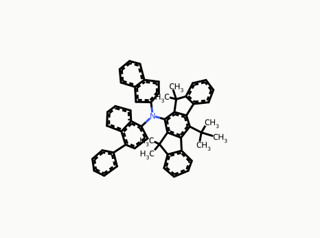 CC(C)(C)c1c2c(c(N(c3ccc4ccccc4c3)c3ccc(-c4ccccc4)c4ccccc34)c3c1-c1ccccc1C3(C)C)C(C)(C)c1ccccc1-2